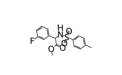 COC(=O)C(NS(=O)(=O)c1ccc(C)cc1)c1cccc(F)c1